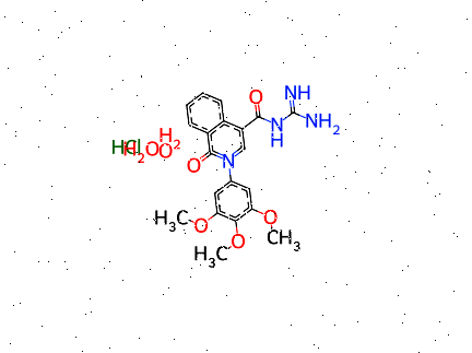 COc1cc(-n2cc(C(=O)NC(=N)N)c3ccccc3c2=O)cc(OC)c1OC.Cl.O.O